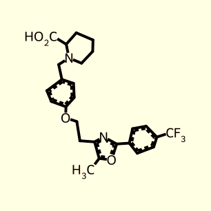 Cc1oc(-c2ccc(C(F)(F)F)cc2)nc1CCOc1ccc(CN2CCCCC2C(=O)O)cc1